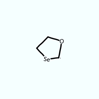 [CH]1OCC[Se]1